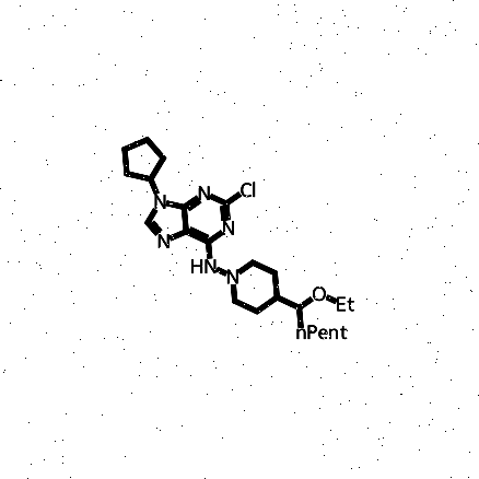 CCCCCC(OCC)C1CCN(Nc2nc(Cl)nc3c2ncn3C2CCCC2)CC1